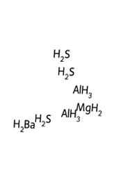 S.S.S.[AlH3].[AlH3].[BaH2].[MgH2]